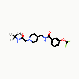 CCC(C)(C)NC(=O)CN1CCC(CNC(=O)c2cccc(OC(F)F)c2)CC1